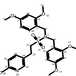 COc1ccc(CN(Cc2ccc(OC)cc2OC)S(=O)(=O)CCc2ccc(Cl)nc2)c(OC)c1